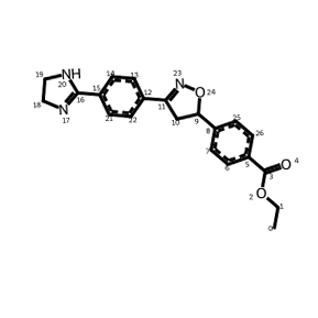 CCOC(=O)c1ccc(C2CC(c3ccc(C4=NCCN4)cc3)=NO2)cc1